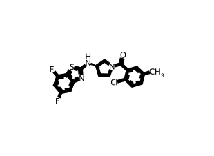 Cc1ccc(Cl)c(C(=O)N2CC[C@@H](Nc3nc4cc(F)cc(F)c4s3)C2)c1